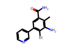 CCc1c(-c2cccnc2)cc(C(N)=O)c(C)c1N